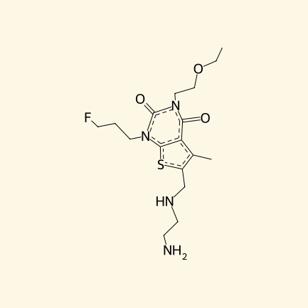 CCOCCn1c(=O)c2c(C)c(CNCCN)sc2n(CCCF)c1=O